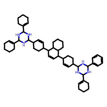 C1=CC(C2C=CC(C3C=CC(C4NC(C5=CCCCC5)NC(c5ccccc5)N4)CC3)C3CCCCC23)CCC1C1NC(C2=CCCCC2)NC(C2=CCCCC2)N1